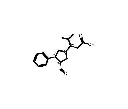 CC(C)[C@@H](CC(=O)O)N1C[C@H](c2ccccc2)[C@@H](C=O)C1